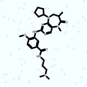 COc1ccc(C(=O)NCCCN(C)C)cc1Nc1ncc2c(n1)N(C1CCCC1)CC(C)C(=O)N2C